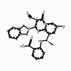 C[C@@H](Nc1ccccc1C(=O)O)c1cc(Cl)cn2c(=O)c(C#N)c(N3Cc4ccccc4C3)nc12